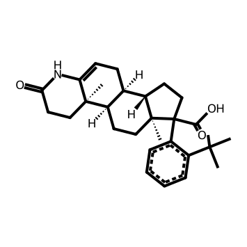 CC(C)(C)c1ccccc1C1(C(=O)O)CC[C@H]2[C@@H]3CC=C4NC(=O)CC[C@]4(C)[C@@H]3CC[C@@]21C